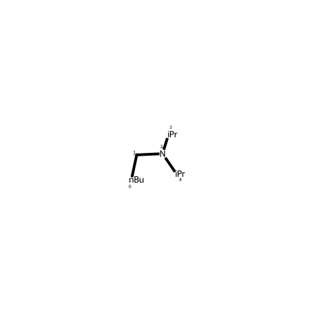 CCCC[CH]N(C(C)C)C(C)C